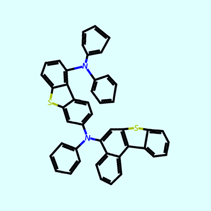 c1ccc(N(c2ccc3c(c2)sc2cccc(N(c4ccccc4)c4ccccc4)c23)c2cc3sc4ccccc4c3c3ccccc23)cc1